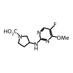 COc1nc(NC2CCN(C(=O)O)C2)ncc1F